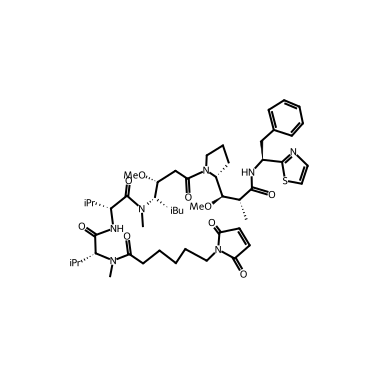 CC[C@@H](C)[C@@H]([C@@H](CC(=O)N1CCC[C@@H]1[C@H](OC)[C@@H](C)C(=O)N[C@@H](Cc1ccccc1)c1nccs1)OC)N(C)C(=O)[C@H](NC(=O)[C@@H](C(C)C)N(C)C(=O)CCCCCN1C(=O)C=CC1=O)C(C)C